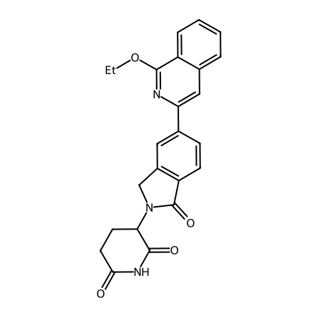 CCOc1nc(-c2ccc3c(c2)CN(C2CCC(=O)NC2=O)C3=O)cc2ccccc12